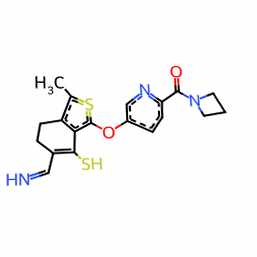 Cc1sc(Oc2ccc(C(=O)N3CCC3)nc2)c2c1CCC(C=N)=C2S